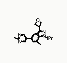 Cc1ncc(-c2cc(C)c3c(c2)c(C2COC2)nn3C(C)C)cn1